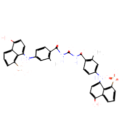 Cc1cc(Nc2ccc(O)c3cccc(S(=O)(=O)O)c23)ccc1C(=O)NC(=O)NC(=O)c1ccc(Nc2ccc(O)c3cccc(S(=O)(=O)O)c23)cc1C